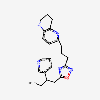 O=C(O)CC(Cc1nc(CCCc2ccc3c(n2)CCCN3)no1)c1cccnc1